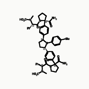 CC(C)[C@@H](C(=O)N1CCC[C@@]1(C(N)=O)c1ccc([C@@H]2CC[C@@H](c3ccc([C@]4(C(N)=O)CCCN4C(=O)[C@H](C(C)C)N(C)C(=O)O)nc3)N2c2ccc(C(C)(C)C)cc2)cn1)N(C)C(=O)O